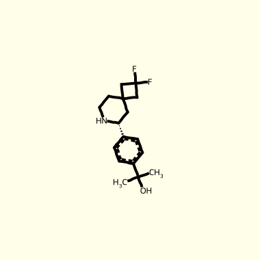 CC(C)(O)c1ccc([C@H]2CC3(CCN2)CC(F)(F)C3)cc1